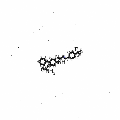 NS(=O)(=O)c1ccccc1-c1ccc2[nH]c(/C=C/c3ccc(C(F)(F)F)cc3)nc2c1